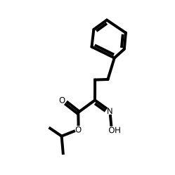 CC(C)OC(=O)C(CCc1ccccc1)=NO